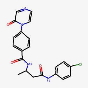 CC(CC(=O)Nc1ccc(Cl)cc1)NC(=O)c1ccc(-n2ccncc2=O)cc1